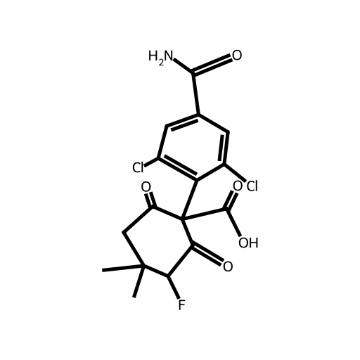 CC1(C)CC(=O)C(C(=O)O)(c2c(Cl)cc(C(N)=O)cc2Cl)C(=O)C1F